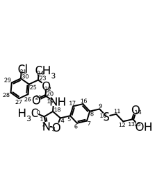 CC1=NOC(c2ccc(CSCCC(=O)O)cc2)C1NC(=O)OC(C)c1ccccc1Cl